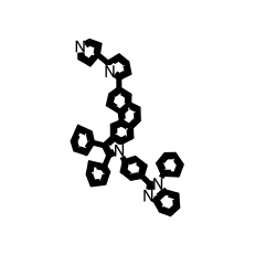 c1ccc(-c2c(-c3ccccc3)n(-c3ccc(-c4nc5ccccc5n4-c4ccccc4)cc3)c3cc4ccc5cc(-c6cccc(-c7ccncc7)n6)ccc5c4cc23)cc1